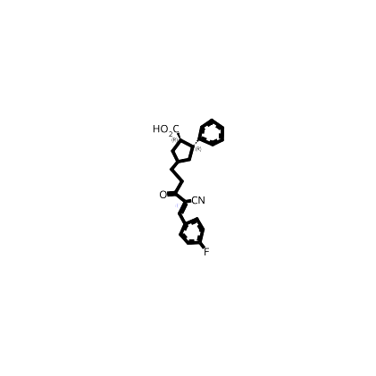 N#C/C(=C\c1ccc(F)cc1)C(=O)CCC1C[C@@H](C(=O)O)[C@H](c2ccccc2)C1